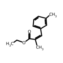 CCOC(=O)C(C)=Cc1cccc(C)c1